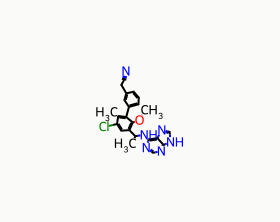 COc1c(C(C)Nc2ncnc3[nH]cnc23)cc(Cl)c(C)c1-c1cccc(CC#N)c1